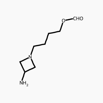 NC1CN(CCCCOC=O)C1